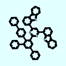 c1ccc(-c2ccc(-c3c(-c4ccccc4)cc(-c4ccccc4)cc3-c3nc(-c4cccc5c4sc4ccccc45)cc(-c4cccc5c4sc4ccccc45)n3)cc2)cc1